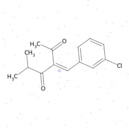 CC(=O)/C(=C\c1cccc(Cl)c1)C(=O)C(C)C